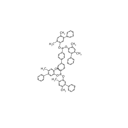 Cc1cc(C)c(-c2ccccc2)cc1OP(Oc1cc(-c2ccccc2)c(C)cc1C)c1ccc(-c2ccc(P(Oc3cc(-c4ccccc4)c(C)cc3C)Oc3cc(-c4ccccc4)c(C)cc3C)cc2)cc1